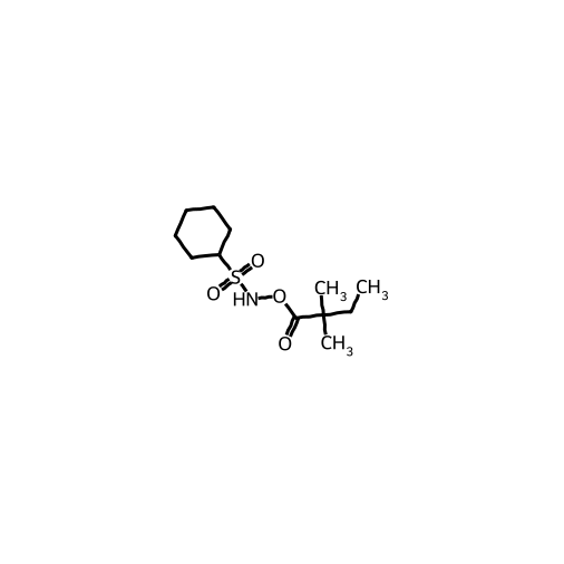 CCC(C)(C)C(=O)ONS(=O)(=O)C1CCCCC1